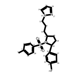 Cc1ccc(S(=O)(=O)N2C(CCCn3cccn3)CCC2c2ccc(F)cc2)cc1